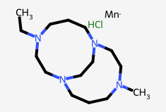 CCN1CCCN2CCN(C)CCCN(CC1)CC2.Cl.[Mn]